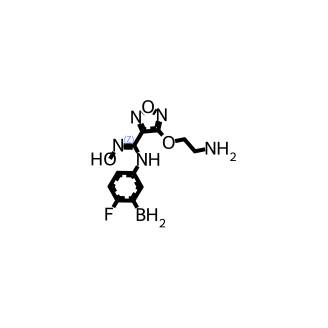 Bc1cc(N/C(=N\O)c2nonc2OCCN)ccc1F